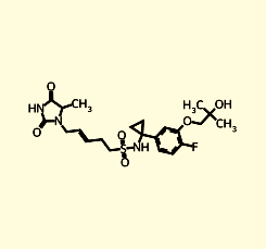 CC1C(=O)NC(=O)N1C/C=C/CCS(=O)(=O)NC1(c2ccc(F)c(OCC(C)(C)O)c2)CC1